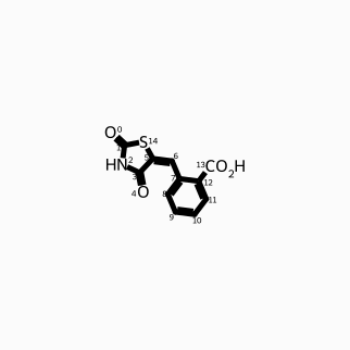 O=C1NC(=O)/C(=C\c2ccccc2C(=O)O)S1